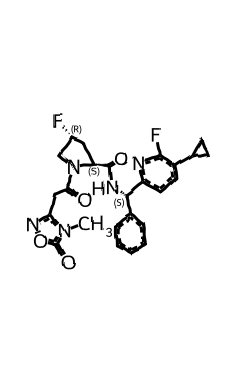 Cn1c(CC(=O)N2C[C@H](F)C[C@H]2C(=O)N[C@@H](c2ccccc2)c2ccc(C3CC3)c(F)n2)noc1=O